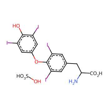 NC(Cc1cc(I)c(Oc2cc(I)c(O)c(I)c2)c(I)c1)C(=O)O.O=S(=O)(O)O